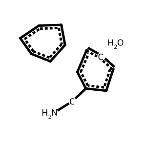 NCc1ccccc1.O.c1ccccc1